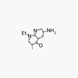 CCn1cc(C)c(=O)c2cc(N)cnc21